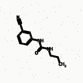 CCCNC(=O)Nc1cccc(C#N)c1